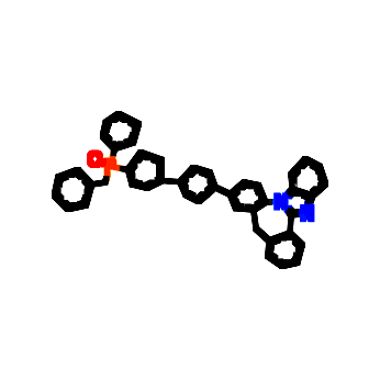 O=P(Cc1ccccc1)(c1ccccc1)c1ccc(-c2ccc(-c3ccc4c(c3)Cc3ccccc3-c3nc5ccccc5n3-4)cc2)cc1